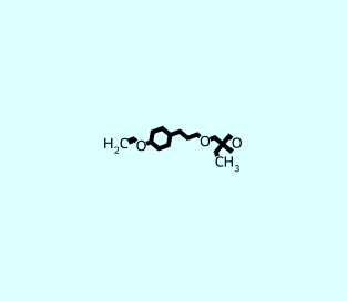 C=COC1CCC(CCCOCC2(CC)COC2)CC1